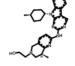 C[C@H]1CN(CCO)Cc2ccc(Nc3ncc4c5ccccc5n([C@H]5CC[C@H](C)CC5)c4n3)nc21